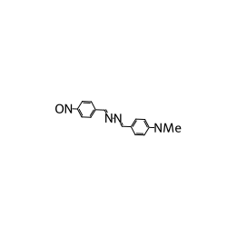 CNc1ccc(/C=N/N=C/c2ccc(N=O)cc2)cc1